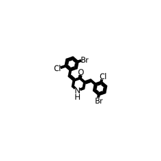 O=C1C(=Cc2cc(Br)ccc2Cl)CNCC1=Cc1cc(Br)ccc1Cl